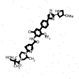 CO[C@@H]1CN[C@H](c2nc(-c3ccc(-c4cc(Cl)c(NC(=O)c5ccc(N6CCN(C(=O)C(C)(C)CO)CC6C)nc5)cc4OC(F)(F)F)cc3)c[nH]2)C1